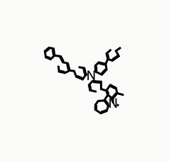 C\C=C/C(=C\C=C\c1ccccc1)C/C=C\C(=C/C)N(C(/C=C\C)=C/Cc1ccc(C)c2c1c1c(n2C)C=CC=CC1)c1ccc(C(/C=C\CC)=C/C)cc1